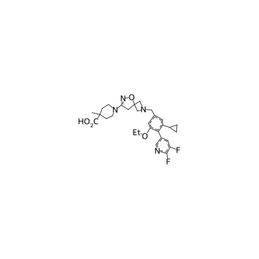 CCOc1cc(CN2CC3(CC(N4CCC(C)(C(=O)O)CC4)=NO3)C2)cc(C2CC2)c1-c1cnc(F)c(F)c1